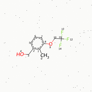 Cc1c(CO)cccc1OCC(F)(F)F